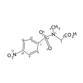 CN(CC(=O)O)S(=O)(=O)c1ccc([N+](=O)[O-])cc1